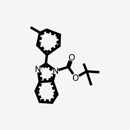 Cc1cccc(-c2nc3ccccc3n2C(=O)OC(C)(C)C)c1